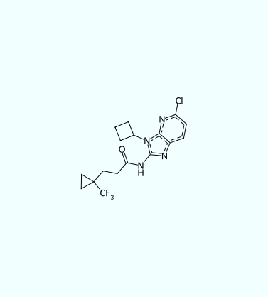 O=C(CCC1(C(F)(F)F)CC1)Nc1nc2ccc(Cl)nc2n1C1CCC1